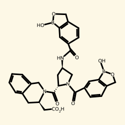 O=C(O)C[C@H]1Cc2ccccc2CN1C(=O)[C@@H]1C[C@@H](NC(=O)c2ccc3c(c2)B(O)OC3)CN1C(=O)c1ccc2c(c1)B(O)OC2